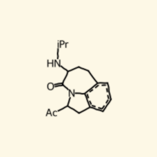 CC(=O)C1Cc2cccc3c2N1C(=O)C(NC(C)C)CC3